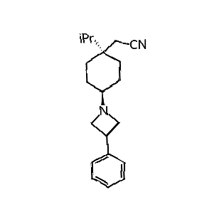 CC(C)[C@]1(CC#N)CC[C@@H](N2CC(c3ccccc3)C2)CC1